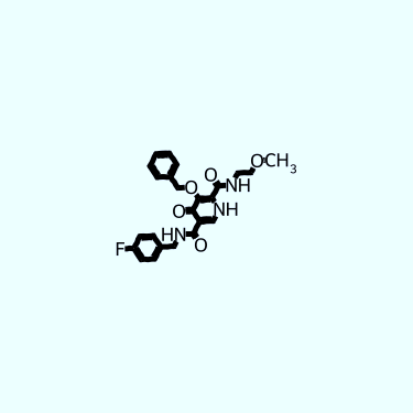 COCCNC(=O)c1[nH]cc(C(=O)NCc2ccc(F)cc2)c(=O)c1OCc1ccccc1